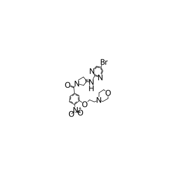 O=C(c1ccc([N+](=O)[O-])c(OCCN2CCOCC2)c1)N1CC[C@H](Nc2ncc(Br)cn2)C1